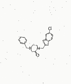 O=C1CN(Cc2cc[c]cc2)CCN1Cc1cc2ccc(Cl)cc2s1